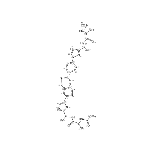 COC(=O)NC(C(=O)NC(c1nc(-c2ccc3cc(-c4ccc(-c5c[nH]c(C(NC(=O)C(NC(=O)O)C(C)C)C(C)C)n5)cc4)ccc3c2)c[nH]1)C(C)C)C(C)C